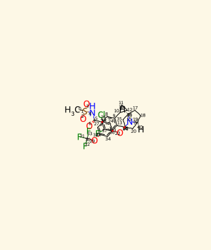 CS(=O)(=O)NC(=O)c1cc(C2CC2)c(CN2[C@@H]3CC[C@H]2C[C@@H](Oc2cc(Cl)cc(OC(F)(F)F)c2)C3)cc1F